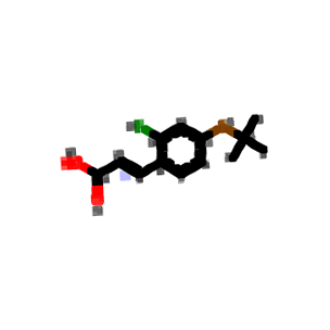 CC(C)(C)Sc1ccc(/C=C/C(=O)O)c(F)c1